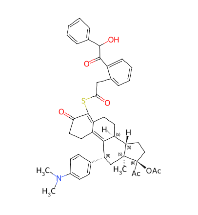 CC(=O)O[C@]1(C(C)=O)CC[C@H]2[C@@H]3CCC4=C(SC(=O)Cc5ccccc5C(=O)C(O)c5ccccc5)C(=O)CCC4=C3[C@@H](c3ccc(N(C)C)cc3)C[C@@]21C